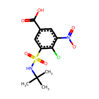 CC(C)(C)NS(=O)(=O)c1cc(C(=O)O)cc([N+](=O)[O-])c1Cl